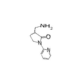 NCC1CCN(c2ccccn2)C1=O